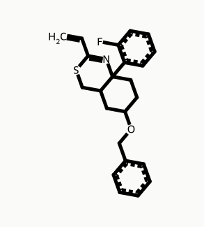 C=CC1=NC2(c3ccccc3F)CCC(OCc3ccccc3)CC2CS1